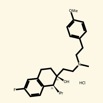 COc1ccc(CCN(C)CC[C@@]2(O)CCc3cc(F)ccc3[C@@H]2C(C)C)cc1.Cl